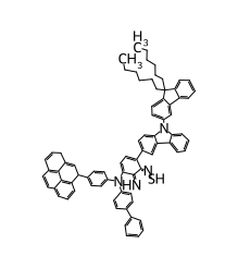 CCCCCCC1(CCCCCC)c2ccccc2-c2cc(-n3c4ccccc4c4cc(C5=CC=C(N(c6ccc(-c7ccccc7)cc6)c6ccc(C7C=C8CC=Cc9ccc%10cccc7c%10c98)cc6)C(=N)/C5=N\S)ccc43)ccc21